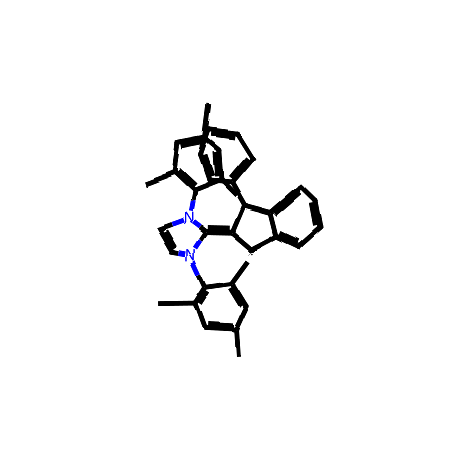 Cc1cc(C)c(N2C=CN(c3c(C)cc(C)cc3C)C2=C2[C]c3ccccc3C2c2ccccc2)c(C)c1